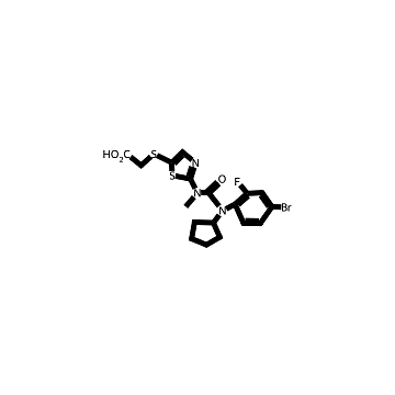 CN(C(=O)N(c1ccc(Br)cc1F)C1CCCC1)c1ncc(SCC(=O)O)s1